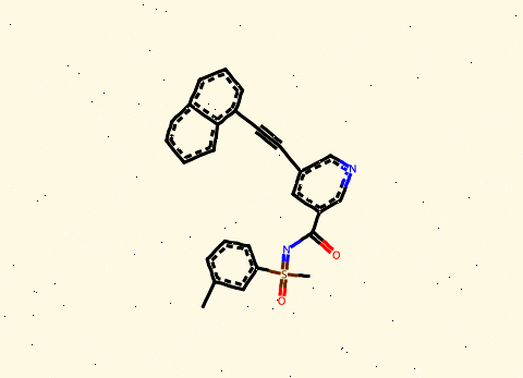 Cc1cccc(S(C)(=O)=NC(=O)c2cncc(C#Cc3cccc4ccccc34)c2)c1